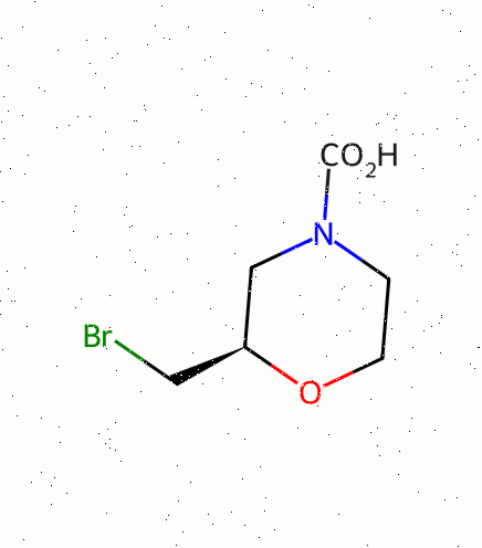 O=C(O)N1CCO[C@@H](CBr)C1